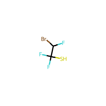 FC(Br)C(F)(F)S